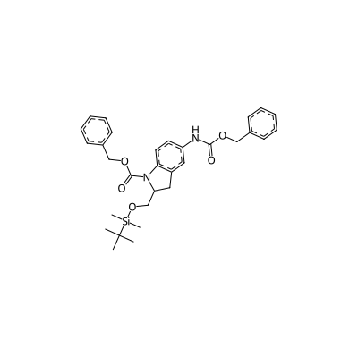 CC(C)(C)[Si](C)(C)OCC1Cc2cc(NC(=O)OCc3ccccc3)ccc2N1C(=O)OCc1ccccc1